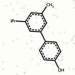 Cc1cc(-c2ccc(O)cc2)cc(C(C)C)c1